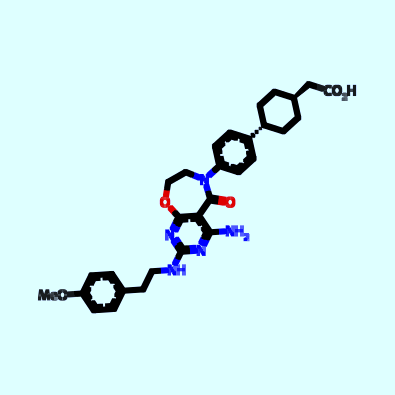 COc1ccc(CCNc2nc(N)c3c(n2)OCCN(c2ccc([C@H]4CC[C@H](CC(=O)O)CC4)cc2)C3=O)cc1